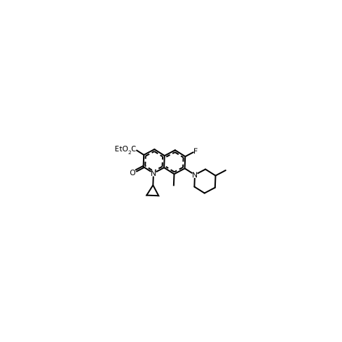 CCOC(=O)c1cc2cc(F)c(N3CCCC(C)C3)c(C)c2n(C2CC2)c1=O